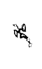 ClCCOc1ccc(/C(=C(/CCCl)c2ccccc2)c2ccccc2)cc1